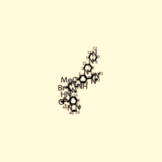 COc1cc(N2CCC(N3CCN(C)CC3)CC2)c(-c2cn(C)cn2)cc1Nc1ncc(Br)c(Nc2ccc3nccnc3c2P(C)(C)=O)n1